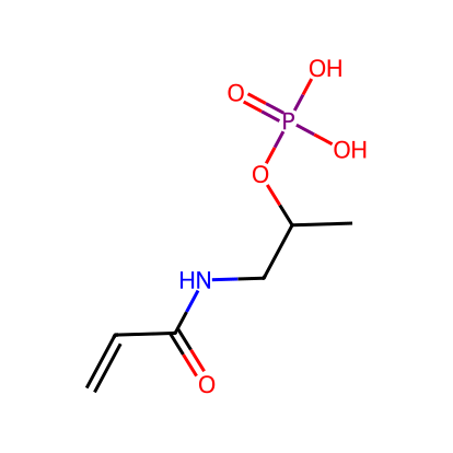 C=CC(=O)NCC(C)OP(=O)(O)O